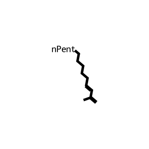 C=C(C)C=CCCCCCCCCCC